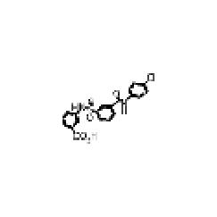 O=C(O)c1cccc(NS(=O)(=O)c2cccc(C(=O)Nc3ccc(Cl)cc3)c2)c1